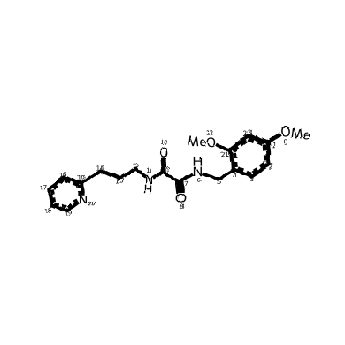 COc1ccc(CNC(=O)C(=O)NCCCc2ccccn2)c(OC)c1